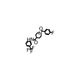 O=C(Nc1cccc(C(F)(F)F)c1)C1CCN(C(=O)c2ccc(F)cc2)CC1